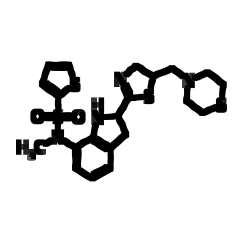 CN(c1cccc2c1NC(C1=NCC(CN3CCSCC3)S1)C2)S(=O)(=O)c1cccs1